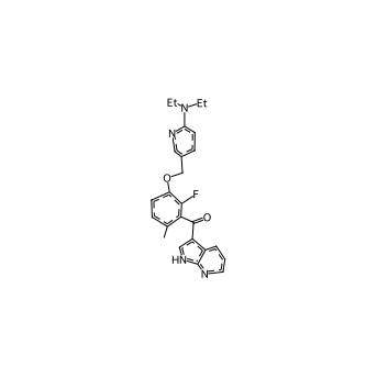 CCN(CC)c1ccc(COc2ccc(C)c(C(=O)c3c[nH]c4ncccc34)c2F)cn1